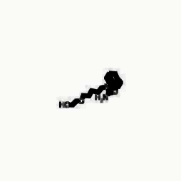 NC(=O)N(CCCCCOCCO)C12CC3CC(CC(C3)C1)C2